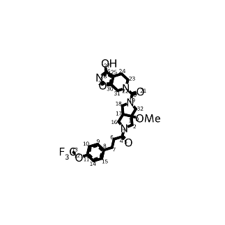 COC12CN(C(=O)CCc3ccc(OC(F)(F)F)cc3)CC1CN(C(=O)N1CCc3c(O)noc3C1)C2